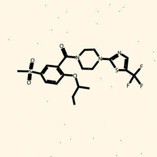 CCC(C)Oc1ccc(S(C)(=O)=O)cc1C(=O)N1CCN(c2ncc(C(F)(F)F)s2)CC1